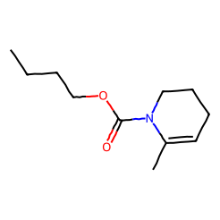 CCCCOC(=O)N1CCCC=C1C